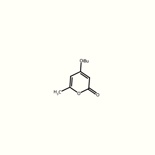 Cc1cc(OCC(C)C)cc(=O)o1